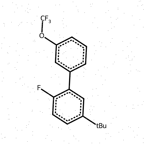 CC(C)(C)c1ccc(F)c(-c2cccc(OC(F)(F)F)c2)c1